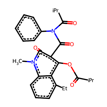 CCc1cccc2c1c(OC(=O)C(C)C)c(C(=O)N(C(=O)C(C)C)c1ccccc1)c(=O)n2C